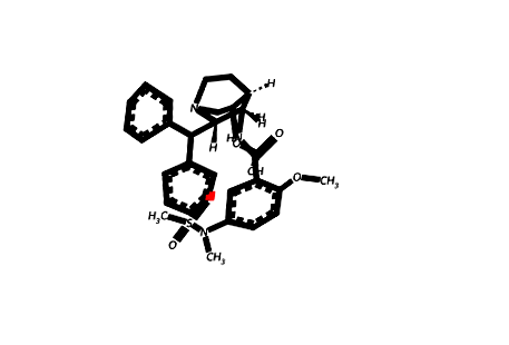 COc1ccc(N(C)S(C)(=O)=O)cc1CN[C@H]1[C@@H]2CCN(C[C@@H]2OC(=O)O)[C@H]1C(c1ccccc1)c1ccccc1